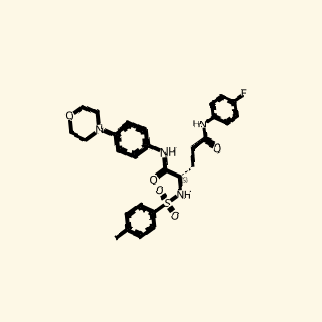 Cc1ccc(S(=O)(=O)N[C@@H](CCC(=O)Nc2ccc(F)cc2)C(=O)Nc2ccc(N3CCOCC3)cc2)cc1